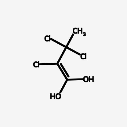 CC(Cl)(Cl)C(Cl)=C(O)O